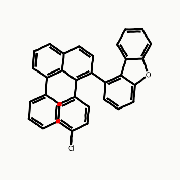 Clc1ccc(-c2c(-c3cccc4oc5ccccc5c34)ccc3cccc(-c4ccccc4)c23)cc1